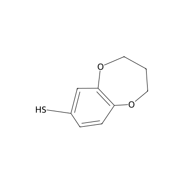 Sc1ccc2c(c1)OCCCO2